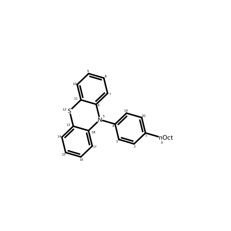 CCCCCCCCc1ccc(N2c3ccccc3Sc3ccccc32)cc1